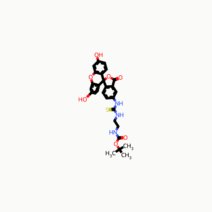 CC(C)(C)OC(=O)NCCNC(=S)Nc1ccc2c(c1)C(=O)OC21c2ccc(O)cc2Oc2cc(O)ccc21